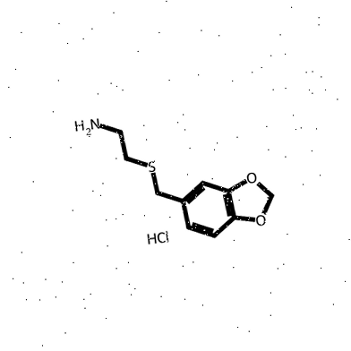 Cl.NCCSCc1ccc2c(c1)OCO2